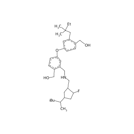 CCC(C)C(C)C1CC(F)C(CNCc2cc(Oc3ccc(CO)c(CC(C)(C)CC)c3)ccc2CO)C1